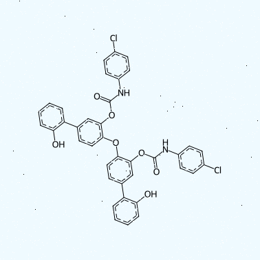 O=C(Nc1ccc(Cl)cc1)Oc1cc(-c2ccccc2O)ccc1Oc1ccc(-c2ccccc2O)cc1OC(=O)Nc1ccc(Cl)cc1